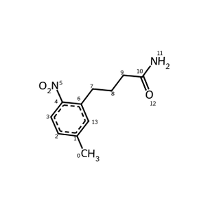 Cc1ccc([N+](=O)[O-])c(CCCC(N)=O)c1